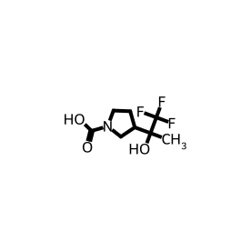 CC(O)(C1CCN(C(=O)O)C1)C(F)(F)F